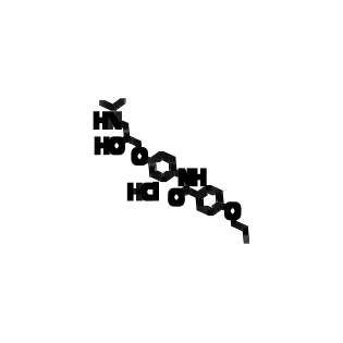 CCCOc1ccc(C(=O)Nc2ccc(OCC(O)CNC(C)C)cc2)cc1.Cl